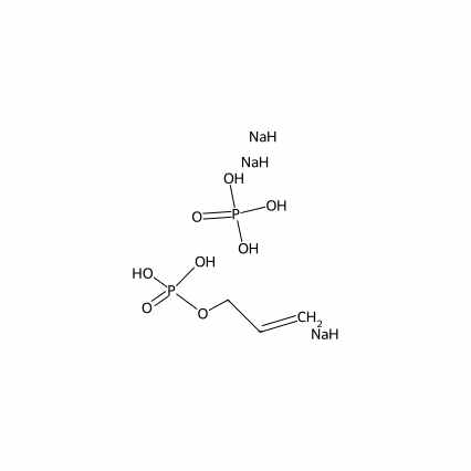 C=CCOP(=O)(O)O.O=P(O)(O)O.[NaH].[NaH].[NaH]